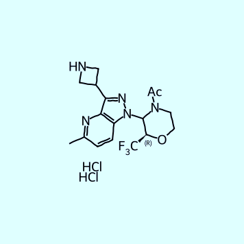 CC(=O)N1CCO[C@@H](C(F)(F)F)C1n1nc(C2CNC2)c2nc(C)ccc21.Cl.Cl